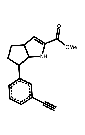 C#Cc1cccc(C2CCC3C=C(C(=O)OC)NC32)c1